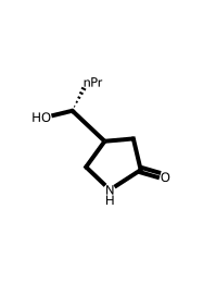 CCC[C@@H](O)C1CNC(=O)C1